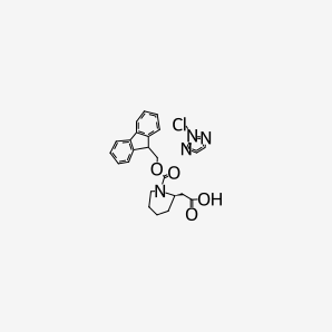 Cln1nccn1.O=C(O)C[C@H]1CCCCN1C(=O)OCC1c2ccccc2-c2ccccc21